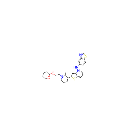 CC1C(C2C=C3C(=CC=CN3Nc3ccc4scnc4c3)S2)CCCN1CCOC1CCCCO1